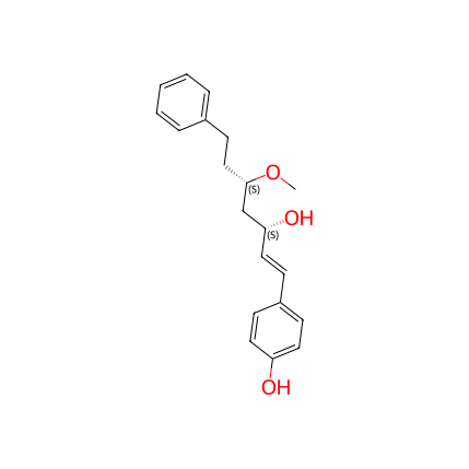 CO[C@@H](CCc1ccccc1)C[C@H](O)C=Cc1ccc(O)cc1